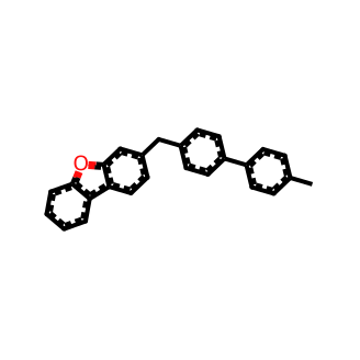 Cc1ccc(-c2ccc(Cc3ccc4c(c3)oc3ccccc34)cc2)cc1